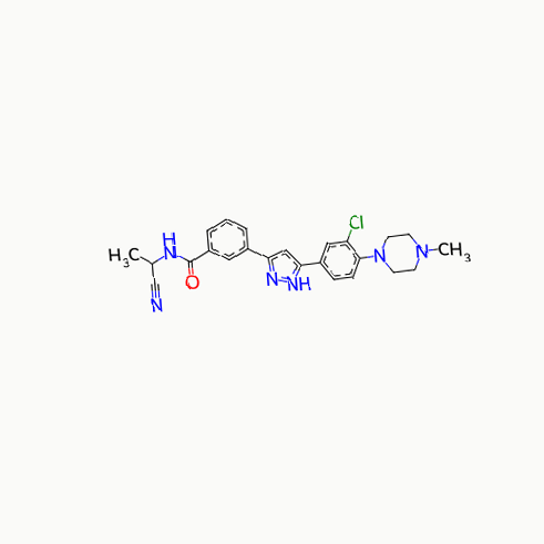 CC(C#N)NC(=O)c1cccc(-c2cc(-c3ccc(N4CCN(C)CC4)c(Cl)c3)[nH]n2)c1